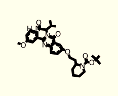 COc1cccc(-c2nc3ccc(OCCC4CCCCN4C(=O)OC(C)(C)C)cc3c(=O)n2C(C(N)=O)C(C)C)c1